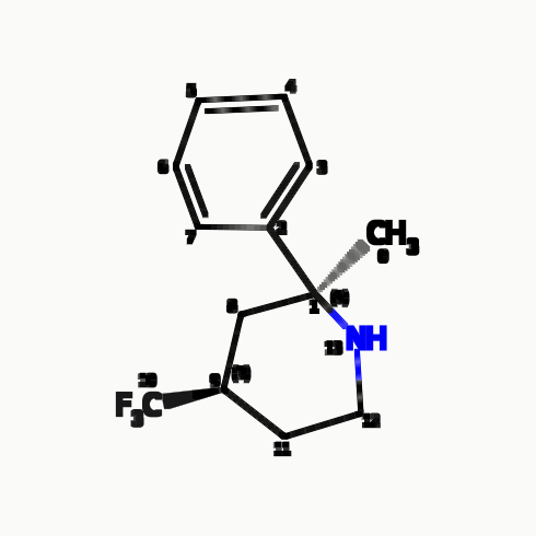 C[C@@]1(c2ccccc2)C[C@H](C(F)(F)F)CCN1